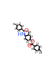 Cc1ccc(C(=O)Nc2ccc(OC(=O)c3ccc(C)cc3)cc2C)cc1